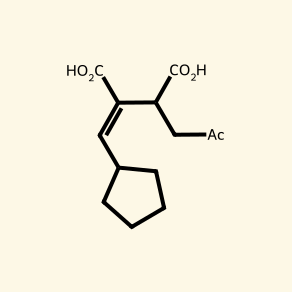 CC(=O)CC(C(=O)O)C(=CC1CCCC1)C(=O)O